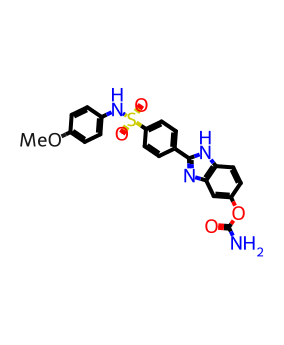 COc1ccc(NS(=O)(=O)c2ccc(-c3nc4cc(OC(N)=O)ccc4[nH]3)cc2)cc1